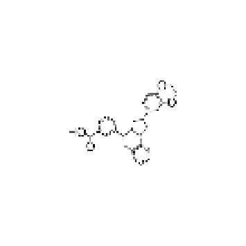 O=C(O)c1cccc(C2Cc3ccccc3C3CC(c4ccc5c(c4)OCCO5)=CC23)c1